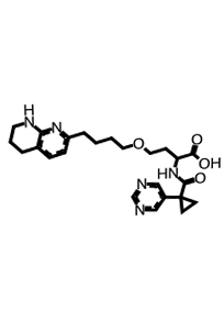 O=C(O)C(CCOCCCCc1ccc2c(n1)NCCC2)NC(=O)C1(c2cncnc2)CC1